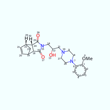 COc1ccccc1N1CCN(CC(O)CN2C(=O)C3C4C=C[C@@H](C4)[C@@H]3C2=O)CC1